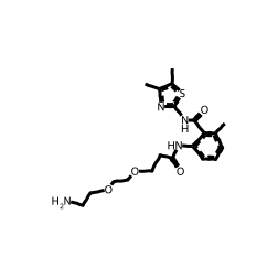 Cc1cccc(NC(=O)CCOCCOCCN)c1C(=O)Nc1nc(C)c(C)s1